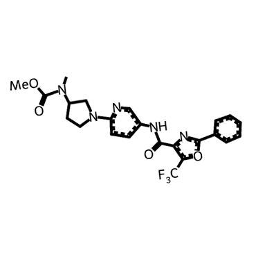 COC(=O)N(C)C1CCN(c2ccc(NC(=O)c3nc(-c4ccccc4)oc3C(F)(F)F)cn2)C1